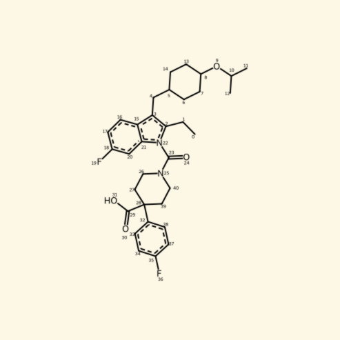 CCc1c(CC2CCC(OC(C)C)CC2)c2ccc(F)cc2n1C(=O)N1CCC(C(=O)O)(c2ccc(F)cc2)CC1